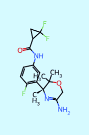 CC1(C)OCC(N)=N[C@]1(C)c1cc(NC(=O)C2CC2(F)F)ccc1F